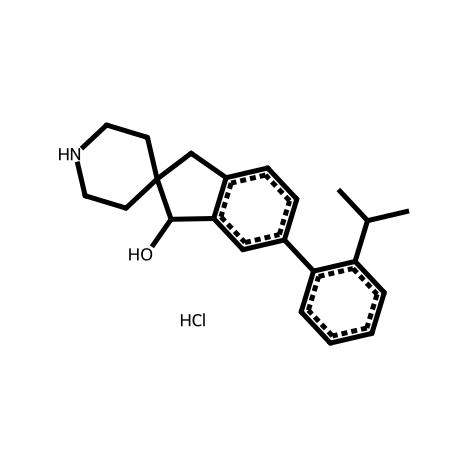 CC(C)c1ccccc1-c1ccc2c(c1)C(O)C1(CCNCC1)C2.Cl